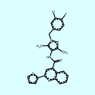 Cc1nn(Cc2ccc(F)c(Cl)c2)c(C)c1NC(=O)c1cc(-c2cccs2)nc2ccccc12